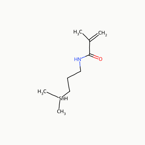 C=C(C)C(=O)NCC[CH2][SnH]([CH3])[CH3]